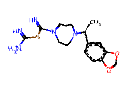 C[C@@H](c1ccc2c(c1)OCO2)N1CCN(C(=N)SC(=N)N)CC1